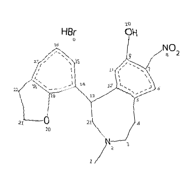 Br.CN1CCc2cc([N+](=O)[O-])c(O)cc2C(c2cccc3c2OCC3)C1